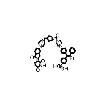 CC/C(=C(\c1ccc(B(O)O)cc1)c1ccc(N2CCN(C(=O)N3CCC(CN4CCN(c5ccc6c(c5)CN(C5CCC(=O)NC5=O)C6=O)CC4)CC3)CC2)cc1)c1ccccc1